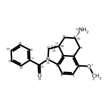 COc1ccc2c3c1C[C@@H](N)C[C@H]3CN2C(=O)c1ccccc1